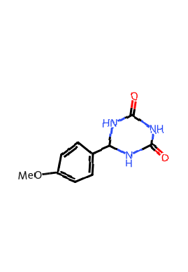 COc1ccc(C2NC(=O)NC(=O)N2)cc1